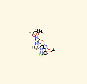 Cc1[nH]c2c(-c3cc(C(F)F)ccc3OCC3CC3)ncnc2c1C(=O)NC1CCN(C(=O)OC(C)(C)C)CC1